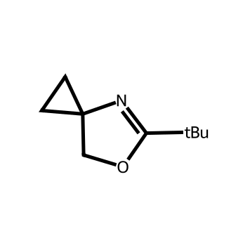 CC(C)(C)C1=NC2(CC2)CO1